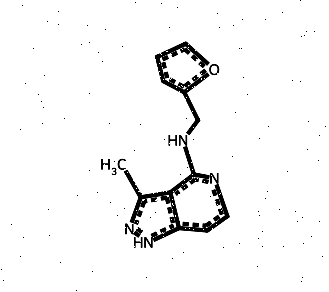 Cc1n[nH]c2ccnc(NCc3ccco3)c12